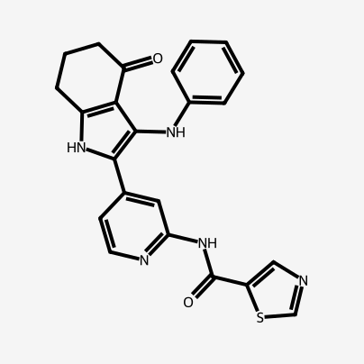 O=C(Nc1cc(-c2[nH]c3c(c2Nc2ccccc2)C(=O)CCC3)ccn1)c1cncs1